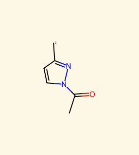 [CH]c1ccn(C(C)=O)n1